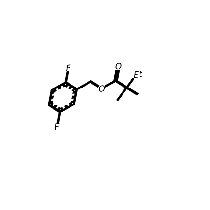 CCC(C)(C)C(=O)OCc1cc(F)ccc1F